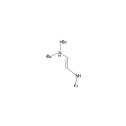 CCCC[SiH](C=CNCC)C(C)CC